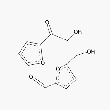 O=C(CO)c1ccco1.O=Cc1ccc(CO)o1